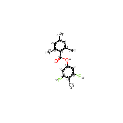 CC(C)c1cc(C(C)C)c(C(=O)Oc2cc(F)c(C#N)c(F)c2)c(C(C)C)c1